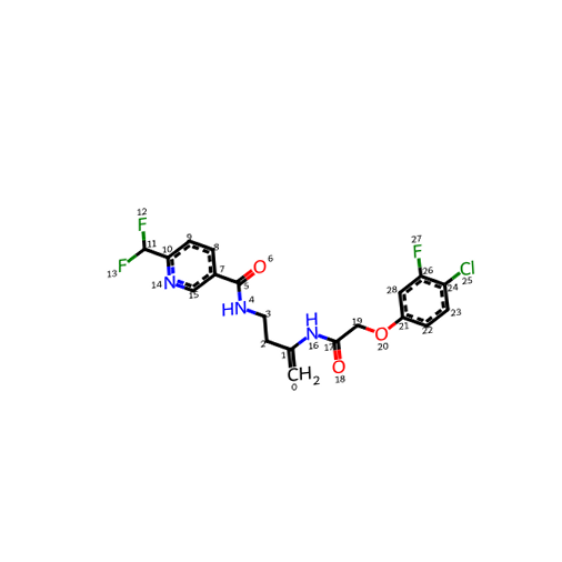 C=C(CCNC(=O)c1ccc(C(F)F)nc1)NC(=O)COc1ccc(Cl)c(F)c1